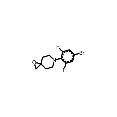 Fc1cc(Br)cc(F)c1N1CCC2(CC1)CO2